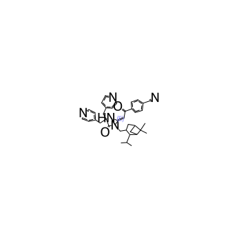 CC(C)C1C(CN2C(=O)C(Cc3ccncc3)(Cc3ccncc3)N/C2=C\C(=O)c2ccc(C#N)cc2)CC2CC1C2(C)C